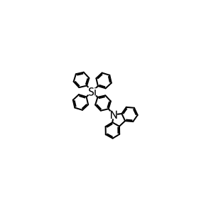 c1ccc([Si](c2ccccc2)(c2ccccc2)c2ccc(-n3c4ccccc4c4ccccc43)cc2)cc1